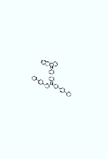 C1=CC(c2ccc(-c3cccc(N(c4ccc(-c5ccc(-c6ccccc6)cc5)cc4)c4ccc(-c5ccc(-n6c7ccccc7c7cc8ccccc8cc76)cc5)cc4)c3)cc2)=CCC1